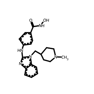 CN1CCC(Cn2c(Nc3ccc(C(=O)NO)cc3)nc3ccccc32)CC1